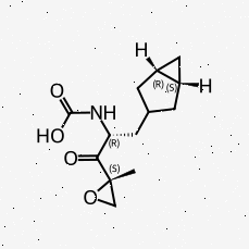 C[C@@]1(C(=O)[C@@H](CC2C[C@@H]3C[C@@H]3C2)NC(=O)O)CO1